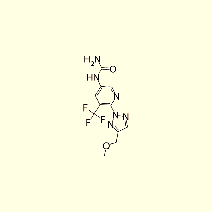 COCc1cnn(-c2ncc(NC(N)=O)cc2C(F)(F)F)n1